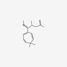 C=C(C)CC(C)/C(=N\C)C1=CC=CC(C)(C)C=C1